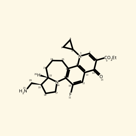 CCOC(=O)c1cn(C2CC2)c2c3c(c(F)cc2c1=O)N1CC[C@@H](CN)[C@@H]1CCC3